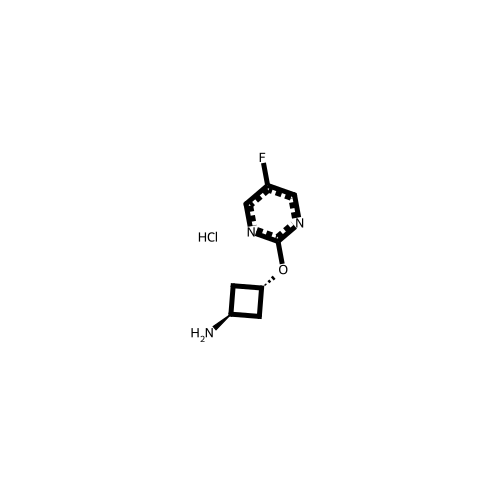 Cl.N[C@H]1C[C@H](Oc2ncc(F)cn2)C1